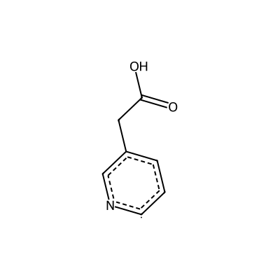 O=C(O)Cc1cc[c]nc1